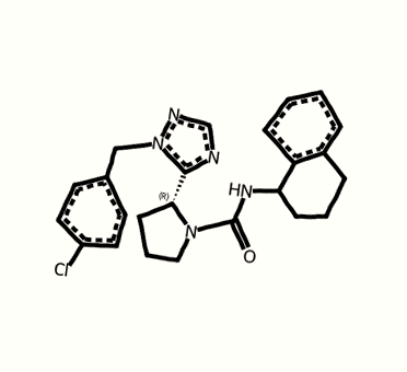 O=C(NC1CCCc2ccccc21)N1CCC[C@@H]1c1ncnn1Cc1ccc(Cl)cc1